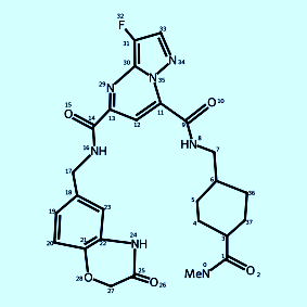 CNC(=O)C1CCC(CNC(=O)c2cc(C(=O)NCc3ccc4c(c3)NC(=O)CO4)nc3c(F)cnn23)CC1